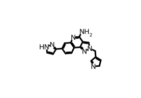 Nc1nc2cc(-c3cc[nH]n3)ccc2c2nn(CC3=CCN=C3)cc12